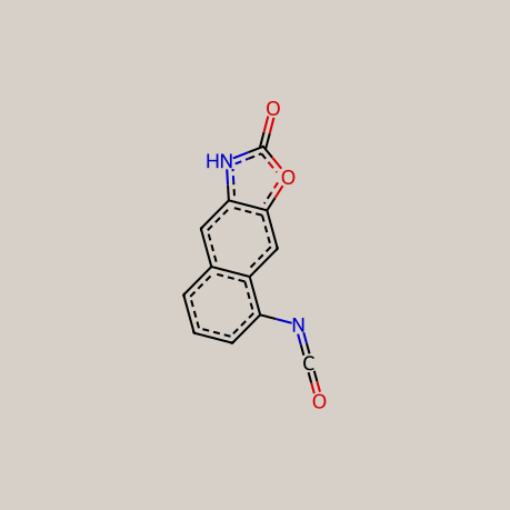 O=C=Nc1cccc2cc3[nH]c(=O)oc3cc12